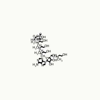 CN(C)CCO.CN(C)CCO.CN(C)CCO.CN(C)CCO.Nc1ncnc2c1ncn2[C@@H]1O[C@H](CO)[C@@H](O)[C@H]1O.O=P(O)(O)OP(=O)(O)O